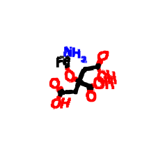 [NH2][Fe][O]C(CC(=O)O)(CC(=O)O)C(=O)O